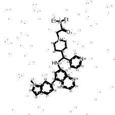 CCN(CC)C(=O)CN1CCC(C(Nc2cc(-c3ccc4ccn(C)c4c3)c3nccnc3c2)c2cccnc2)CC1